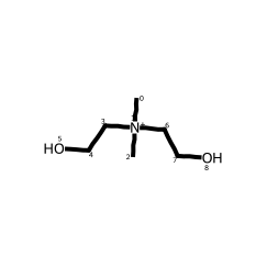 C[N+](C)(CCO)CCO